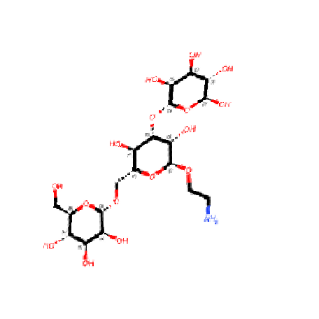 NCCO[C@H]1O[C@H](CO[C@H]2O[C@H](CO)[C@@H](O)[C@H](O)[C@@H]2O)[C@@H](O)[C@H](O[C@H]2O[C@H](O)[C@@H](O)[C@H](O)[C@@H]2O)[C@@H]1O